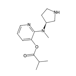 CC(C)C(=O)Oc1cccnc1N(C)[C@H]1CCNC1